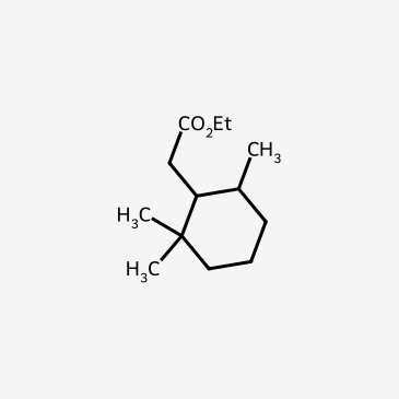 CCOC(=O)CC1C(C)CCCC1(C)C